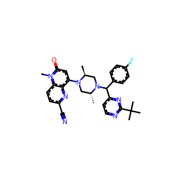 C[C@@H]1CN(c2cc(=O)n(C)c3ccc(C#N)nc23)[C@@H](C)CN1C(c1ccc(F)cc1)c1ccnc(C(C)(C)C)n1